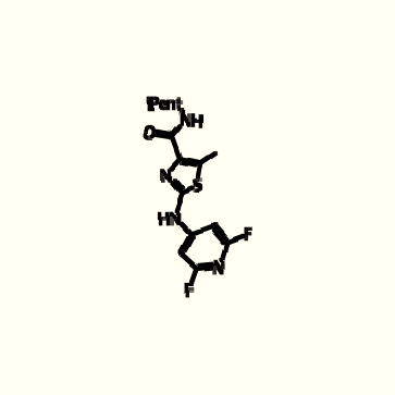 CCCC(C)NC(=O)c1nc(Nc2cc(F)nc(F)c2)sc1C